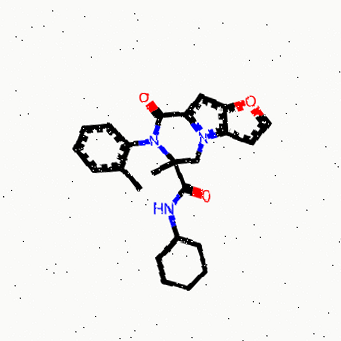 Cc1ccccc1N1C(=O)c2cc3occc3n2CC1(C)C(=O)NC1CCCCC1